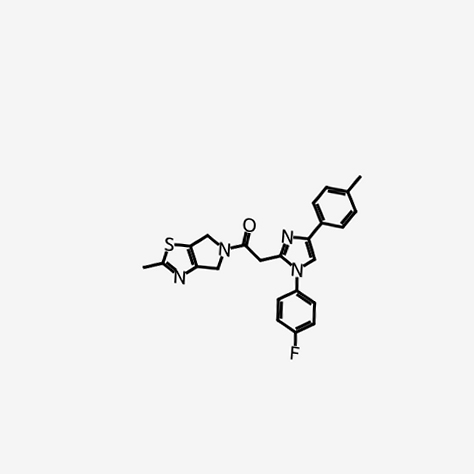 Cc1ccc(-c2cn(-c3ccc(F)cc3)c(CC(=O)N3Cc4nc(C)sc4C3)n2)cc1